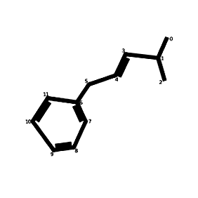 C[C](C)C=CCc1ccccc1